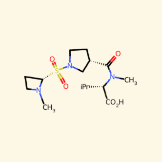 CC(C)[C@@H](C(=O)O)N(C)C(=O)[C@H]1CCN(S(=O)(=O)[C@H]2CCN2C)C1